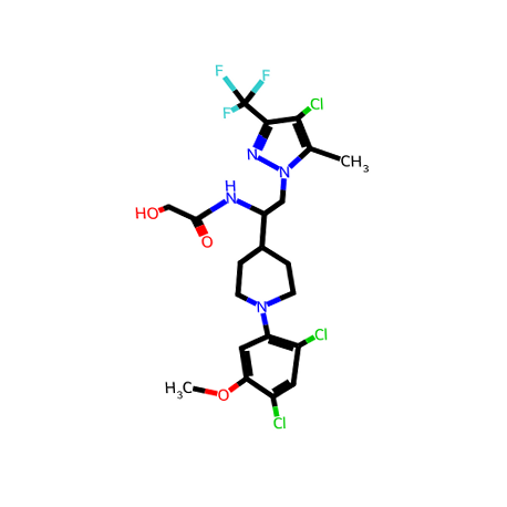 COc1cc(N2CCC(C(Cn3nc(C(F)(F)F)c(Cl)c3C)NC(=O)CO)CC2)c(Cl)cc1Cl